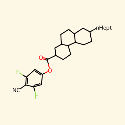 CCCCCCCC1CCC2C(CCC3CC(C(=O)Oc4cc(F)c(C#N)c(F)c4)CCC32)C1